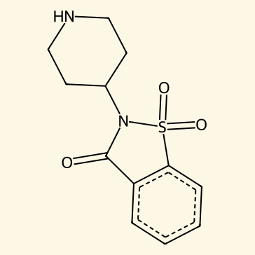 O=C1c2ccccc2S(=O)(=O)N1C1CCNCC1